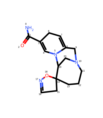 NC(=O)C1=CN2C(=CC1)CN1CCCC3(CC=NO3)C2C1